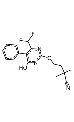 CC(C)(C#N)CCOc1nc(O)c(-c2ccccc2)c(C(F)F)n1